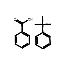 CC(C)(C)c1ccccc1.O=C(O)c1ccccc1